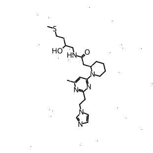 CSCCC(O)CNC(=O)CC1CCCCN1c1cc(C)nc(CCn2ccnc2)n1